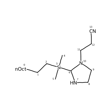 CCCCCCCCCC[Si](C)(C)C1NCCN1CCC#N